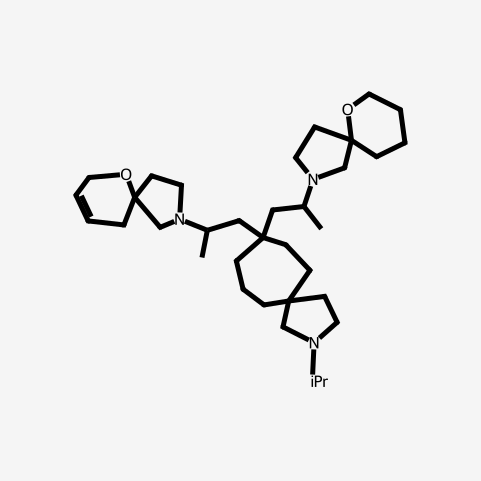 CC(C)N1CCC2(CCCC(CC(C)N3CCC4(CC=CCO4)C3)(CC(C)N3CCC4(CCCCO4)C3)CC2)C1